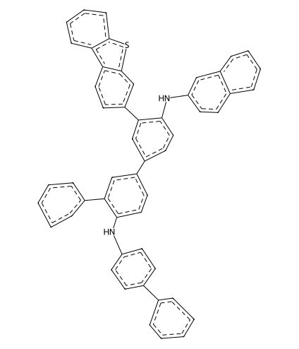 c1ccc(-c2ccc(Nc3ccc(-c4ccc(Nc5ccc6ccccc6c5)c(-c5ccc6c(c5)sc5ccccc56)c4)cc3-c3ccccc3)cc2)cc1